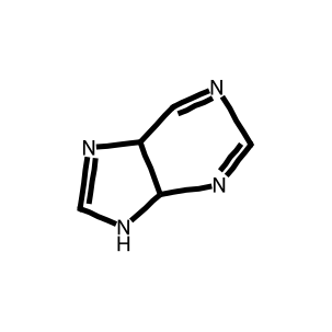 C1=NC=NC2NC=NC12